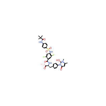 BC(=O)[C@H](Cc1ccc(N2C(=O)C=C(C)N(C)C2O)cc1)NC(=O)c1cc(F)c(NS(=O)(=O)c2ccc(NC(=O)C(C)(C)C)cc2)cc1F